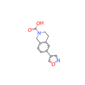 O=C(O)N1CCc2cc(-c3cnoc3)ccc2C1